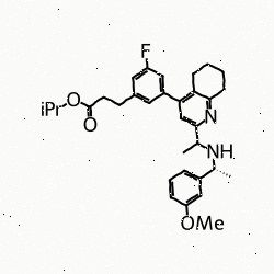 COc1cccc([C@@H](C)NC(C)c2cc(-c3cc(F)cc(CCC(=O)OC(C)C)c3)c3c(n2)CCCC3)c1